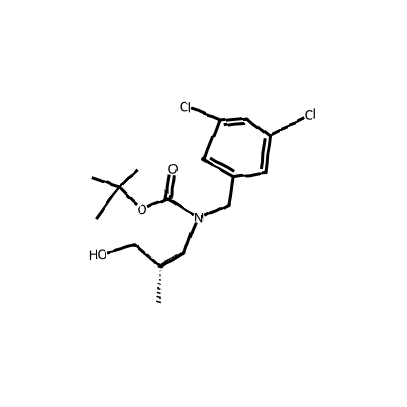 C[C@H](CO)CN(Cc1cc(Cl)cc(Cl)c1)C(=O)OC(C)(C)C